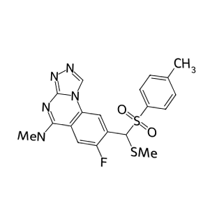 CNc1nc2nncn2c2cc(C(SC)S(=O)(=O)c3ccc(C)cc3)c(F)cc12